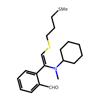 CSCCCS/C=C(/c1ccccc1C=O)N(C)C1CCCCC1